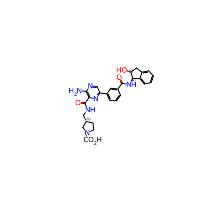 Nc1ncc(-c2cccc(C(=O)N[C@@H]3c4ccccc4C[C@@H]3O)c2)nc1C(=O)NC[C@H]1CCN(C(=O)O)C1